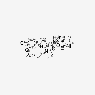 CC[C@@H](C)N(CC)c1nc(-c2ccc(Cl)c(OC(C)C)c2)ccc1C(=O)NS(=O)(=O)c1ccc[nH]c1=O